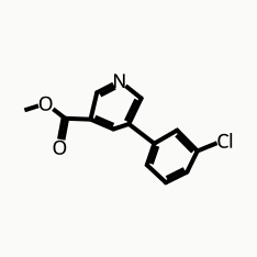 COC(=O)c1cncc(-c2cccc(Cl)c2)c1